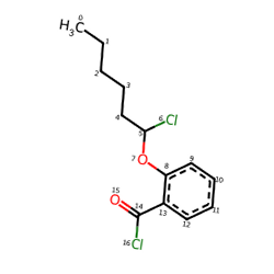 CCCCCC(Cl)Oc1ccccc1C(=O)Cl